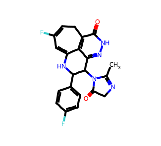 CC1=NCC(=O)N1C1c2n[nH]c(=O)c3c2C(=CC(F)=CC3)NC1c1ccc(F)cc1